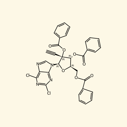 C#C[C@@]1(OC(=O)c2ccccc2)[C@H](OC(=O)c2ccccc2)[C@@H](COC(=O)c2ccccc2)O[C@H]1n1cnc2c(Cl)nc(Cl)nc21